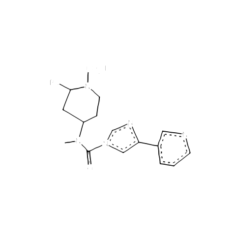 CN(C(=O)n1cnc(-c2cccnc2)c1)C1CCN(C(=O)O)C(C(C)(C)C)C1